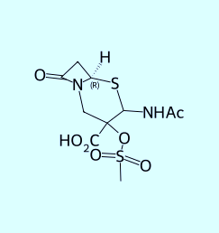 CC(=O)NC1S[C@@H]2CC(=O)N2CC1(OS(C)(=O)=O)C(=O)O